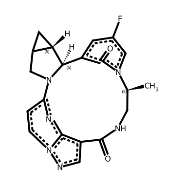 C[C@H]1CNC(=O)c2cnn3ccc(nc23)N2CC3C[C@@H]3[C@H]2c2cc(F)cn1c2=O